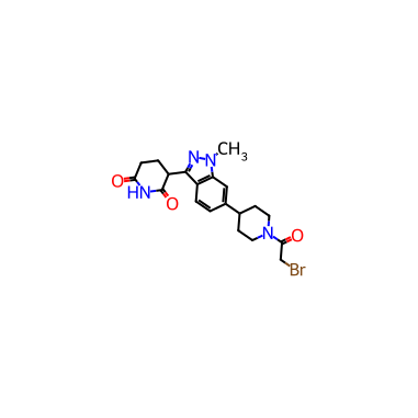 Cn1nc(C2CCC(=O)NC2=O)c2ccc(C3CCN(C(=O)CBr)CC3)cc21